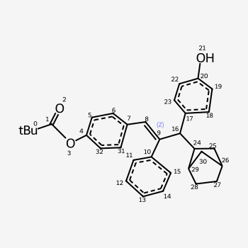 CC(C)(C)C(=O)Oc1ccc(/C=C(\c2ccccc2)C(c2ccc(O)cc2)C2CC3CCC2C3)cc1